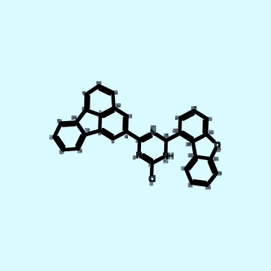 ClC1=NC(c2cc3c4c(cccc4c2)-c2ccccc2-3)=NC(c2cccc3oc4ccccc4c23)N1